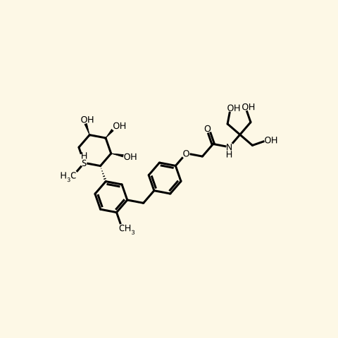 Cc1ccc([C@H]2[C@H](O)[C@H](O)[C@H](O)C[SH]2C)cc1Cc1ccc(OCC(=O)NC(CO)(CO)CO)cc1